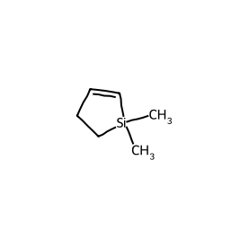 C[Si]1(C)C=CCC1